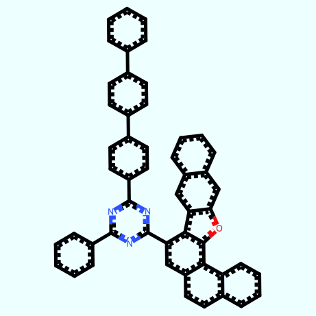 c1ccc(-c2ccc(-c3ccc(-c4nc(-c5ccccc5)nc(-c5cc6ccc7ccccc7c6c6oc7cc8ccccc8cc7c56)n4)cc3)cc2)cc1